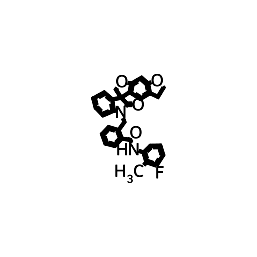 Cc1c(F)cccc1NC(=O)c1ccccc1CN1C(=O)C2(COc3cc4c(cc32)CCO4)c2ccccc21